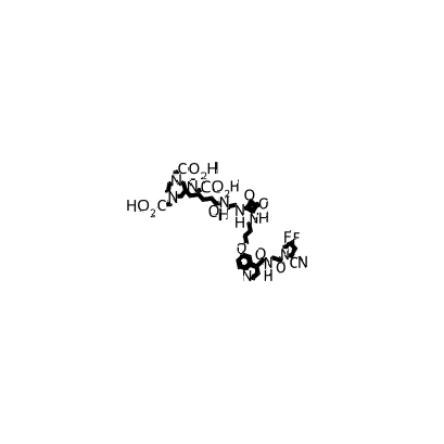 CN(CC(=O)O)C1(CCCCC(=O)NCCNc2c(NCCCCOc3ccc4nccc(C(=O)NCC(=O)N5CC(F)(F)C[C@@H]5C#N)c4c3)c(=O)c2=O)CN(CC(=O)O)CCN(CC(=O)O)C1